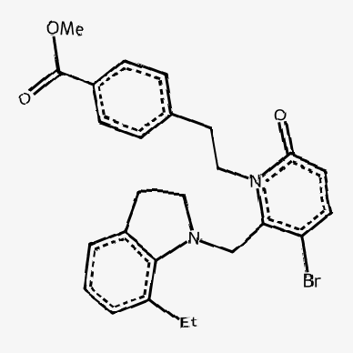 CCc1cccc2c1N(Cc1c(Br)ccc(=O)n1CCc1ccc(C(=O)OC)cc1)CC2